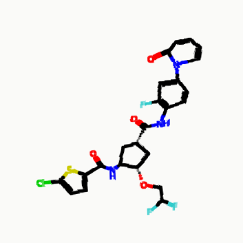 O=C(N[C@H]1C[C@H](C(=O)Nc2ccc(-n3ccccc3=O)cc2F)C[C@@H]1OCC(F)F)c1ccc(Cl)s1